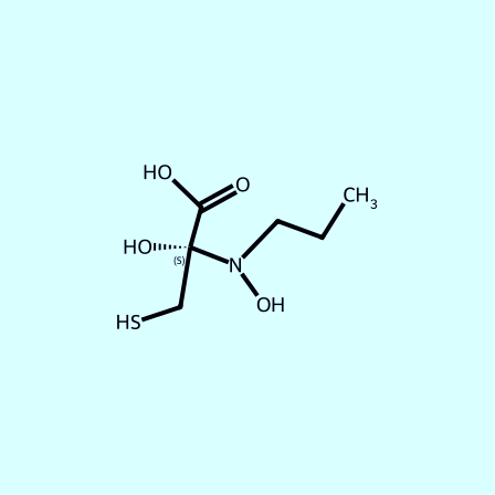 CCCN(O)[C@@](O)(CS)C(=O)O